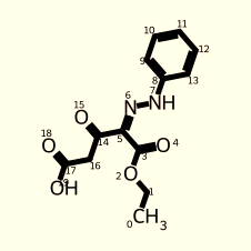 CCOC(=O)C(=NNc1ccccc1)C(=O)CC(=O)O